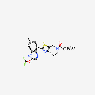 COC(=O)N1CCc2nc(-c3cc(C)cc4nc(OC(F)F)cnc34)sc2C1